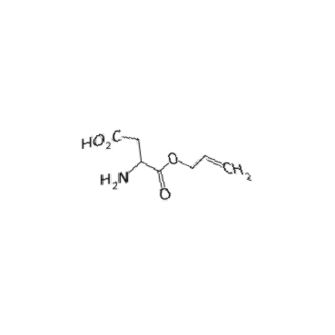 C=CCOC(=O)C(N)CC(=O)O